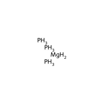 P.P.P.[MgH2]